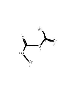 CCCOC(=O)OC(C(C)C)C(C)C